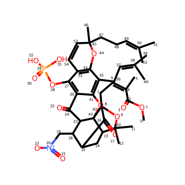 COC(=O)/C(C)=C\CC12OC(C)(C)C3CC(C1=O)C(C[N+](=O)[O-])C1C(=O)c4c(OP(=O)(O)O)c5c(c(CC=C(C)C)c4OC132)OC(C)(CCC=C(C)C)C=C5